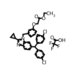 CCOC(=O)COc1cccc(Cn2c(C3CC3)nc3ccc(C(c4ccc(Cl)cc4)c4ccc(Cl)cc4)cc32)c1.O=C(O)C(F)(F)F